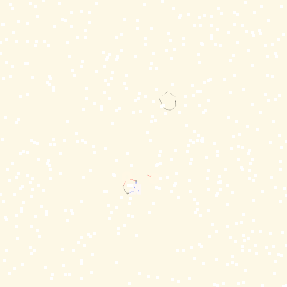 O=C(CCCCCCc1ccccc1)c1ncc(F)o1